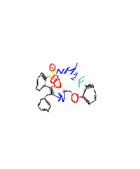 NS(=O)(=O)c1ccccc1-c1oc(COc2ccccc2F)nc1-c1ccccc1